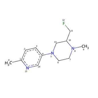 Cc1ccc(N2CCN(C)C(CF)C2)cn1